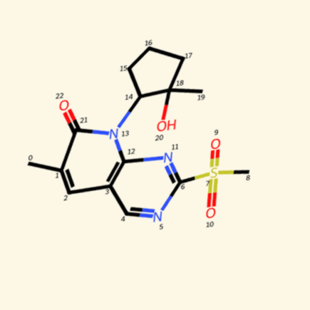 Cc1cc2cnc(S(C)(=O)=O)nc2n(C2CCCC2(C)O)c1=O